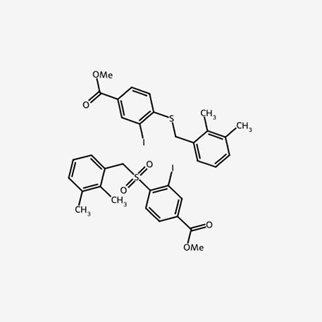 COC(=O)c1ccc(S(=O)(=O)Cc2cccc(C)c2C)c(I)c1.COC(=O)c1ccc(SCc2cccc(C)c2C)c(I)c1